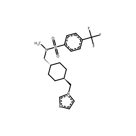 CN(C[C@H]1CC[C@H](Cn2ccnc2)CC1)S(=O)(=O)c1ccc(C(F)(F)F)cc1